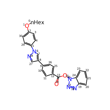 CCCCCCOc1ccc(-n2cc(-c3ccc(C(=O)On4nnc5ccccc54)cc3)cn2)cc1